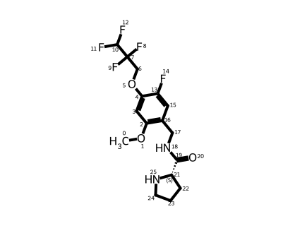 COc1cc(OCC(F)(F)C(F)F)c(F)cc1CNC(=O)[C@@H]1CCCN1